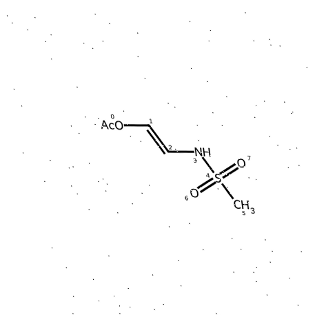 CC(=O)OC=CNS(C)(=O)=O